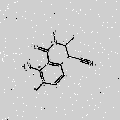 Cc1cccc(C(=O)N(C)C(C)CC#N)c1N